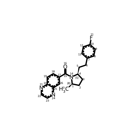 C[C@@H]1CC[C@H](CCc2ccc(F)cc2)N1C(=O)c1ccc2nccnc2c1